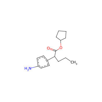 CCCC(C(=O)OC1CCCC1)c1ccc(N)cc1